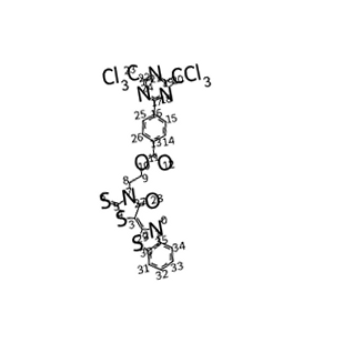 CN1/C(=C2/SC(=S)N(CCOC(=O)c3ccc(-c4nc(C(Cl)(Cl)Cl)nc(C(Cl)(Cl)Cl)n4)cc3)C2=O)Sc2ccccc21